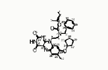 C/C=C(\C)OC(=O)N(CCn1c2nc(=O)[nH]c(=O)c-2nc2cc(C)c(OC3CCCC3)cc21)Cc1ccccc1